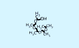 CC(C)OC(C)COC(C)COC(C)COC(C)CO